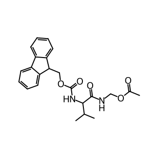 CC(=O)OCNC(=O)C(NC(=O)OCC1c2ccccc2-c2ccccc21)C(C)C